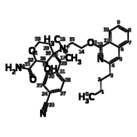 CCCCc1cc2ccccc2c(OCC[N+](C)(C)[C@@]2(Cc3ccc(C#N)cc3)CCOC(C(N)=O)[C@@H]2O)n1